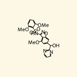 COc1cccc(OC)c1S(=O)(=O)Nc1noc2cc(C(O)c3ncccn3)cc(OC)c12